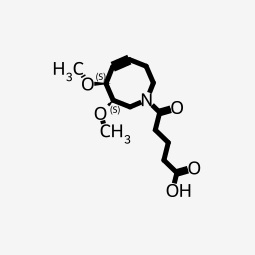 CO[C@H]1C#CCCN(C(=O)CCCC(=O)O)C[C@@H]1OC